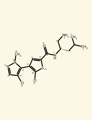 CC(C)C[C@@H](CN)NC(=O)c1cc(-c2c(Cl)cnn2C)c(Cl)s1